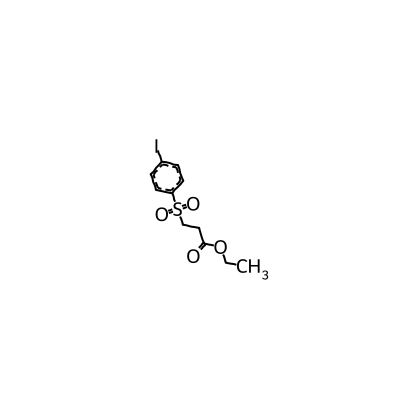 CCOC(=O)CCS(=O)(=O)c1ccc(I)cc1